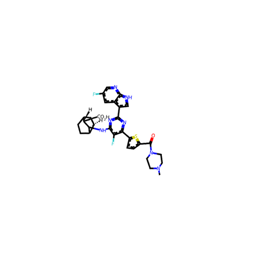 CN1CCN(C(=O)c2ccc(-c3nc(-c4c[nH]c5ncc(F)cc45)nc(N[C@H]4C5CCC(CC5)[C@@H]4C(=O)O)c3F)s2)CC1